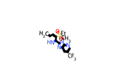 C=C/C=C(\C(=N)c1nc2cc(C(F)(F)F)cnc2n1C)S(=O)(=O)CC